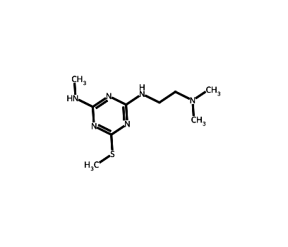 CNc1nc(NCCN(C)C)nc(SC)n1